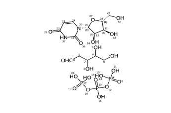 O=CCC(O)C(O)CO.O=P(O)(O)OP(=O)(O)OP(=O)(O)O.O=c1ccn([C@@H]2O[C@H](CO)[C@@H](O)[C@H]2O)c(=O)[nH]1